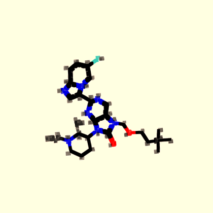 CC(C)(C)[C@@H]1C(n2c(=O)n(COCC[Si](C)(C)C)c3cnc(-c4cnc5ccc(F)cn45)nc32)CCCN1C(=O)O